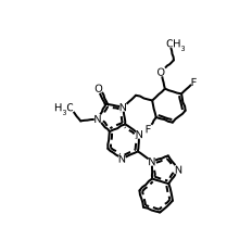 CCOC1C(F)=CC=C(F)C1Cn1c(=O)n(CC)c2cnc(-n3cnc4ccccc43)nc21